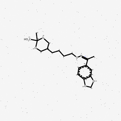 C/C(=N/OCCCCC1COC(C)(C(=O)O)OC1)c1ccc2c(c1)OCO2